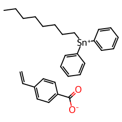 C=Cc1ccc(C(=O)[O-])cc1.CCCCCCC[CH2][Sn+]([c]1ccccc1)[c]1ccccc1